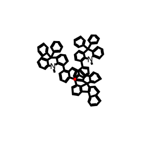 CN1c2ccccc2C(c2ccccc2)(c2ccccc2)c2cccc(-c3cccc4c(-c5cccc6c5C5(c7ccccc7-c7ccccc75)c5ccc7ccccc7c5-6)c5cccc(-c6cccc7c6N(C)c6ccccc6C7(c6ccccc6)c6ccccc6)c5cc34)c21